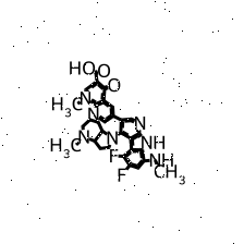 CNc1cc(F)c(F)c2c1[nH]c1ncc(-c3cnc4c(c3)c(=O)c(C(=O)O)cn4C)c(N3CCC4C3CCCN4C)c12